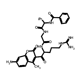 Cc1c(C(=O)C(CCCNC(=N)N)NC(=O)CNC(=O)C(NC(=O)c2ccccc2)C(C)C)c(=O)oc2cc(N)ccc12